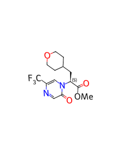 COC(=O)[C@H](CC1CCOCC1)n1cc(C(F)(F)F)ncc1=O